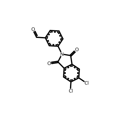 O=Cc1cccc(N2C(=O)c3cc(Cl)c(Cl)cc3C2=O)c1